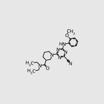 CCN(CC)C(=O)C1CCCN(c2nc(C#N)nc(Nc3ccccc3OC)n2)C1